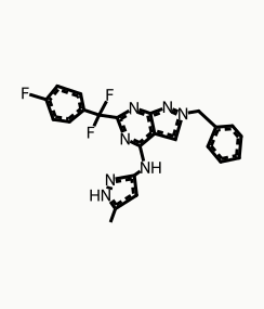 Cc1cc(Nc2nc(C(F)(F)c3ccc(F)cc3)nc3nn(Cc4ccccc4)cc23)n[nH]1